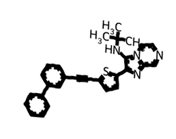 CC(C)(C)Nc1c(-c2ccc(C#Cc3cccc(-c4ccccc4)c3)s2)nc2cnccn12